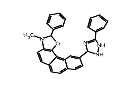 CN1c2ccc3ccc4ccc(C5N=C(c6ccccc6)NN5)cc4c3c2OC1c1ccccc1